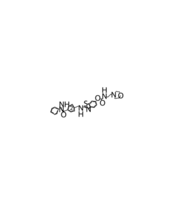 NN(C(=O)c1ccc(CNc2nc3ccc(OC(=O)NCCN4CCOCC4)cc3s2)cc1)c1ccccc1